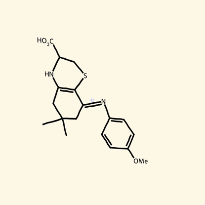 COc1ccc(/N=C2\CC(C)(C)CC3=C2SCC(C(=O)O)N3)cc1